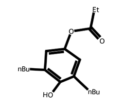 CCCCc1cc(OC(=O)CC)cc(CCCC)c1O